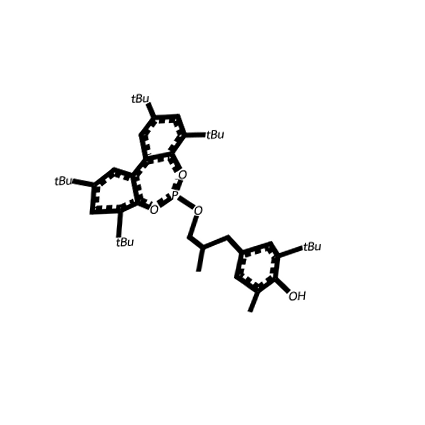 Cc1cc(CC(C)COp2oc3c(C(C)(C)C)cc(C(C)(C)C)cc3c3cc(C(C)(C)C)cc(C(C)(C)C)c3o2)cc(C(C)(C)C)c1O